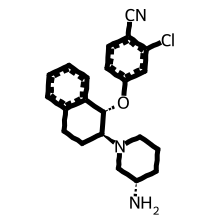 N#Cc1ccc(O[C@H]2c3ccccc3CC[C@@H]2N2CCC[C@H](N)C2)cc1Cl